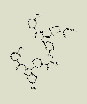 C=CC(=O)N1CCCC(n2c(NC(=O)c3cccc(C(F)(F)F)c3)nc3cc(C)ccc32)C1.C=CC(=O)N1CCC[C@H](n2c(NC(=O)c3cccc(C(F)(F)F)c3)nc3cc(C)ccc32)C1